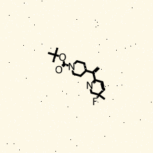 C=C(C1=NCC(C)(F)C=C1)C1CCN(C(=O)OC(C)(C)C)CC1